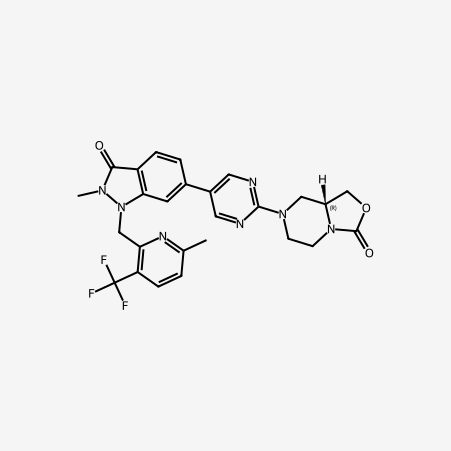 Cc1ccc(C(F)(F)F)c(Cn2c3cc(-c4cnc(N5CCN6C(=O)OC[C@H]6C5)nc4)ccc3c(=O)n2C)n1